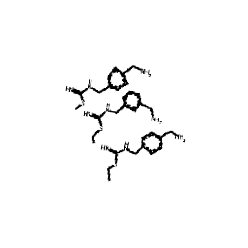 CCSC(=N)NCc1ccc(CN)cc1.CCSC(=N)NCc1cccc(CN)c1.CSC(=N)NCc1ccc(CN)cc1